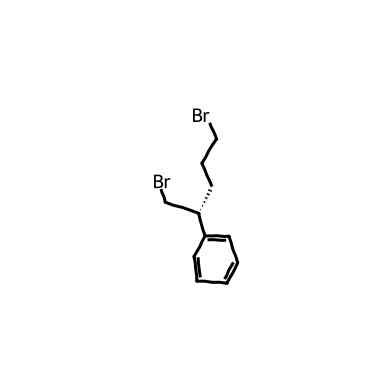 BrCCC[C@@H](CBr)c1ccccc1